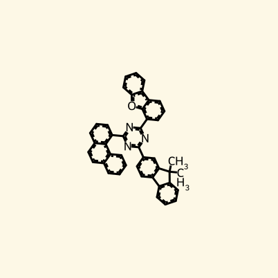 CC1(C)c2ccccc2-c2ccc(-c3nc(-c4cccc5c4oc4ccccc45)nc(-c4cccc5ccc6ccccc6c45)n3)cc21